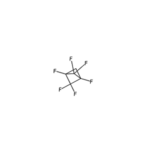 FC1(F)C2(F)CC1(F)C2(F)F